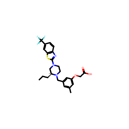 CCC[C@H]1CN(c2nc3ccc(C(F)(F)F)cc3s2)CCN1Cc1cc(C)cc(OCC(=O)O)c1